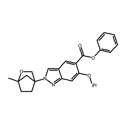 CC(C)Oc1cc2nn(C34CCC(C)(C3)OC4)cc2cc1C(=O)Oc1ccccc1